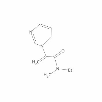 C=C(C(=O)N(C)CC)N1C=NC=CC1